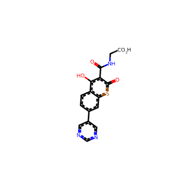 O=C(O)CNC(=O)c1c(O)c2ccc(-c3cncnc3)cc2sc1=O